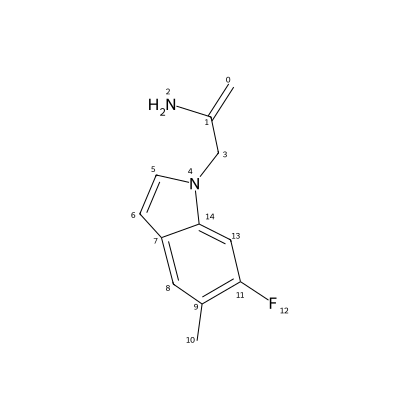 C=C(N)Cn1ccc2cc(C)c(F)cc21